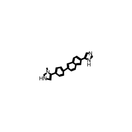 CN1CNC=C1c1ccc(-c2ccc3cc(-c4cnc[nH]4)ccc3c2)cc1